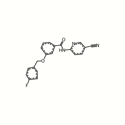 N#Cc1ccc(NC(=O)c2cccc(OCc3ccc(F)cc3)c2)nc1